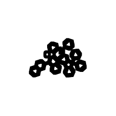 c1ccc(N(c2ccc3c(c2)C(c2ccccc2)(c2ccccc2)c2ccccc2-3)c2cccc3oc4c(-c5ccc6ccccc6c5)c5ccccc5cc4c23)cc1